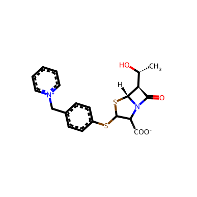 C[C@@H](O)[C@H]1C(=O)N2C(C(=O)[O-])C(Sc3ccc(C[n+]4ccccc4)cc3)S[C@H]12